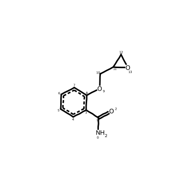 NC(=O)c1ccccc1OCC1CO1